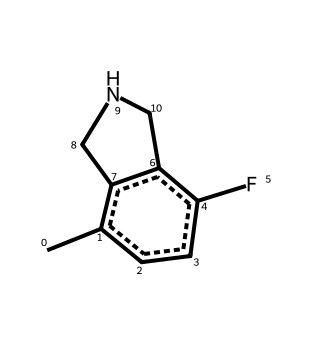 Cc1ccc(F)c2c1CNC2